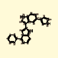 c1ccc(-c2nccc3[nH]c(-c4n[nH]c5cnc(-c6cn[nH]c6)cc45)cc23)nc1